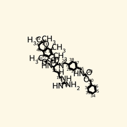 Cc1c(C)c(S(=O)(=O)NC(CCCNC(=N)N)C(=O)NCc2ccc(CNC(=O)OCc3ccccc3)cc2)c(C)c2c1OC(C)(C)CC2